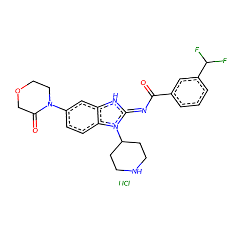 Cl.O=C(/N=c1\[nH]c2cc(N3CCOCC3=O)ccc2n1C1CCNCC1)c1cccc(C(F)F)c1